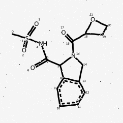 CS(=O)(=O)NC(=O)C1c2ccccc2CN1C(=O)C1CCO1